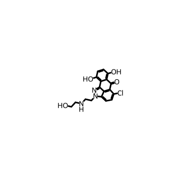 O=C1c2c(O)ccc(O)c2-c2nn(CCNCCO)c3ccc(Cl)c1c23